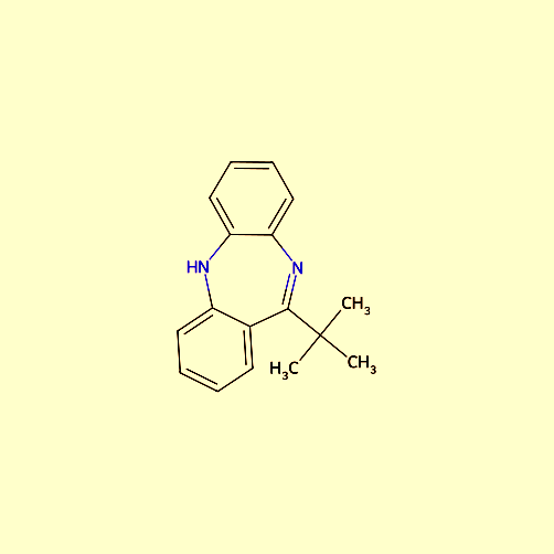 CC(C)(C)C1=Nc2ccccc2Nc2ccccc21